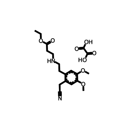 CCOC(=O)CCNCCc1cc(OC)c(OC)cc1CC#N.O=C(O)C(=O)O